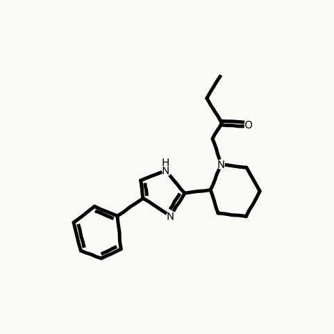 CCC(=O)CN1CCCCC1c1nc(-c2ccccc2)c[nH]1